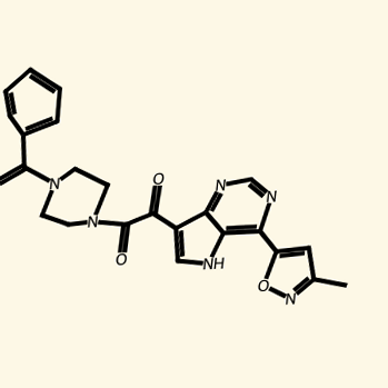 Cc1cc(-c2ncnc3c(C(=O)C(=O)N4CCN(C(=O)c5ccccc5)CC4)c[nH]c23)on1